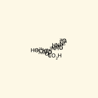 O=C(O)C(=O)O[C@@H](CNCCNC(=O)N1CCOCC1)COc1ccc(O)cc1